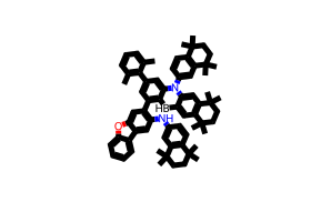 Cc1cccc(C)c1-c1cc(-c2cc3oc4ccccc4c3cc2Nc2ccc3c(c2)C(C)(C)CCC3(C)C)c2c(c1)N(c1ccc3c(c1)C(C)(C)CCC3(C)C)c1cc3c(cc1B2)C(C)(C)CCC3(C)C